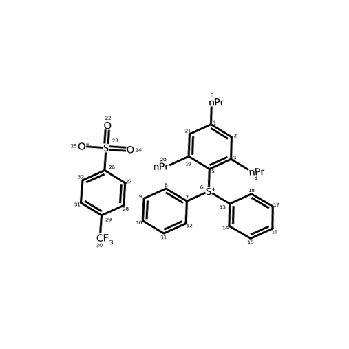 CCCc1cc(CCC)c([S+](c2ccccc2)c2ccccc2)c(CCC)c1.O=S(=O)([O-])c1ccc(C(F)(F)F)cc1